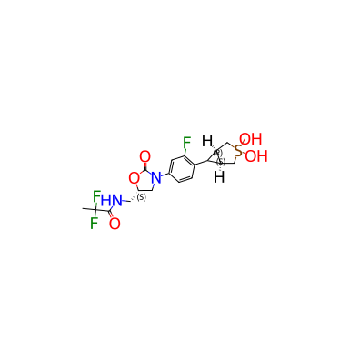 CC(F)(F)C(=O)NC[C@H]1CN(c2ccc(C3[C@H]4CS(O)(O)C[C@@H]34)c(F)c2)C(=O)O1